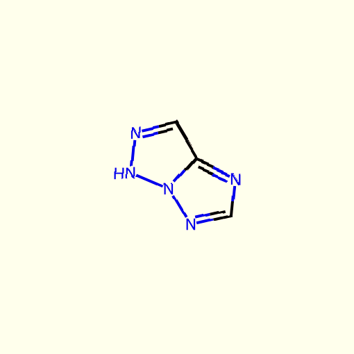 c1nc2cn[nH]n2n1